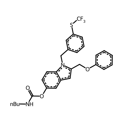 CCCCNC(=O)Oc1ccc2c(c1)cc(COc1ccccc1)n2Cc1cccc(SC(F)(F)F)c1